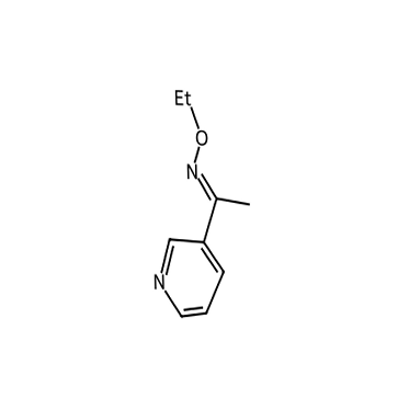 CCON=C(C)c1cccnc1